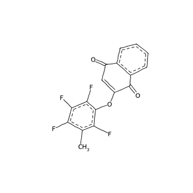 Cc1c(F)c(F)c(F)c(OC2=CC(=O)c3ccccc3C2=O)c1F